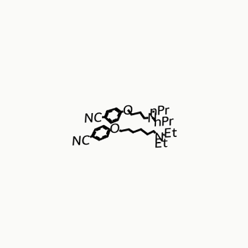 CCCN(CCC)CCCOc1ccc(C#N)cc1.CCN(CC)CCCCCCOc1ccc(C#N)cc1